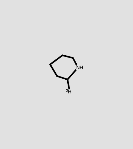 [2H]C1CCCCN1